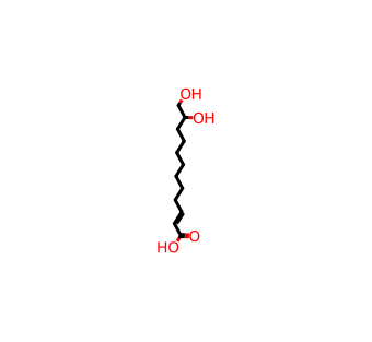 O=C(O)/C=C/CCCCCCCC(O)CO